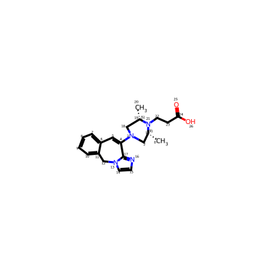 C[C@@H]1CN(C2=Cc3ccccc3Cn3ccnc32)C[C@H](C)N1CCC(=O)O